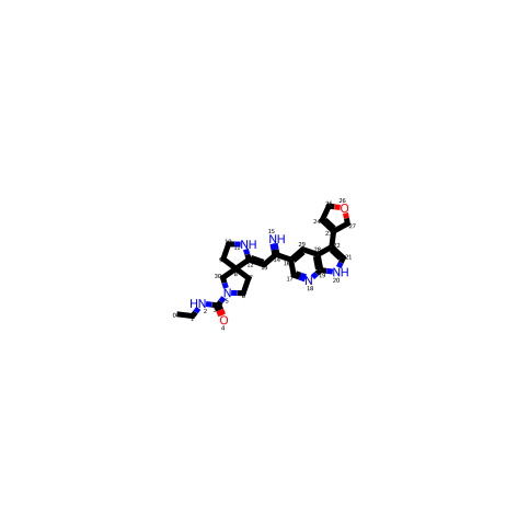 CCNC(=O)N1CCC2(CCN/C2=C\C(=N)c2cnc3[nH]cc(C4=CCOC4)c3c2)C1